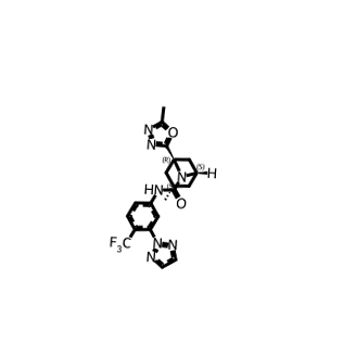 Cc1nnc([C@@]23C[C@@H](C)C[C@@H](C2)N3C(=O)Nc2ccc(C(F)(F)F)c(-n3nccn3)c2)o1